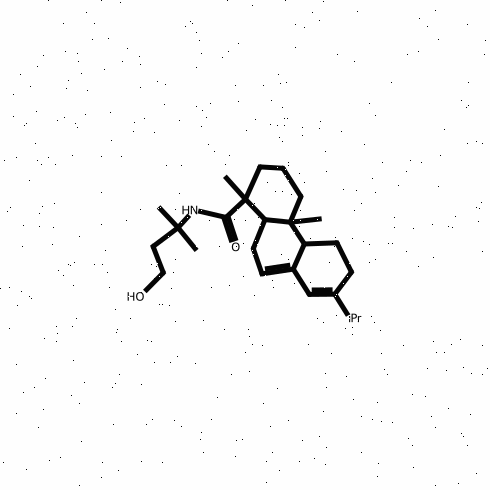 CC(C)C1=CC2=CCC3C(C)(C(=O)NC(C)(C)CCO)CCCC3(C)C2CC1